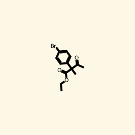 CCOC(=O)C(C)(C(C)=O)c1ccc(Br)cc1